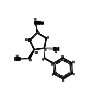 COC1C[C@@](O)(Cc2ccccc2)[C@@H](CO)O1